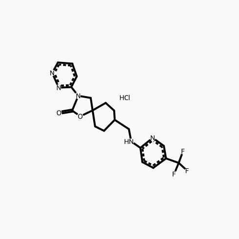 Cl.O=C1OC2(CCC(CNc3ccc(C(F)(F)F)cn3)CC2)CN1c1cccnn1